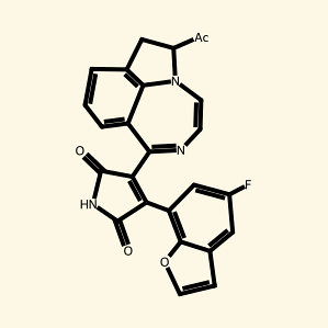 CC(=O)C1Cc2cccc3c2N1C=CN=C3C1=C(c2cc(F)cc3ccoc23)C(=O)NC1=O